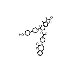 Cc1cc(C[C@@H](OC(=O)N2CCC(N3CCc4ccccc4NC3=O)CC2)C(=O)N2CCC(N3CCC(O)CC3)CC2)cc2oc(=O)n(C)c12